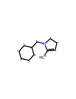 N#CC1=CCCN1CC1CCCCC1